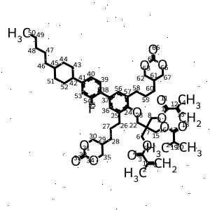 C=C(C)C(=O)OCC(COC(=O)C(=C)C)(COC(=O)C(C)C)COc1c(CCCC2COC(=O)OC2)cc(-c2ccc(C3CCC(CCCCC)CC3)cc2F)cc1CCCC1COC(=O)OC1